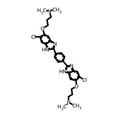 CN(C)CCCOc1cc2nc(-c3ccc(-c4nc5cc(Cl)c(OCCCN(C)C)cc5[nH]4)cc3)[nH]c2cc1Cl